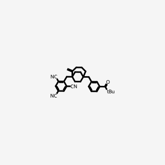 C=C1CCCC2(Cc3cccc(C(=O)C(C)(C)C)c3)CCC1(Cc1c(C#N)cc(C#N)cc1C#N)CC2